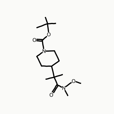 CON(C)C(=O)C(C)(C)C1CCN(C(=O)OC(C)(C)C)CC1